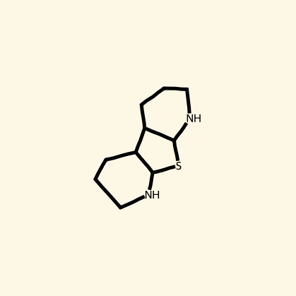 C1CNC2SC3NCCCC3C2C1